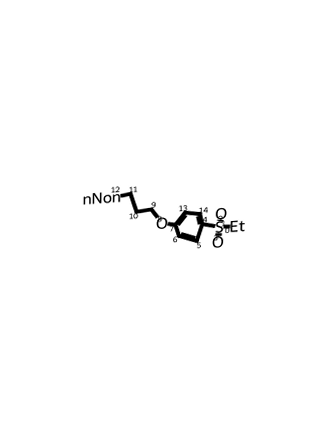 [CH2]CS(=O)(=O)c1ccc(OCCCCCCCCCCCC)cc1